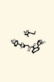 CCc1nn(C)cc1C.NCc1ccc(-c2nc(CNC(=O)c3ccccc3-c3ccn[nH]3)cs2)cc1